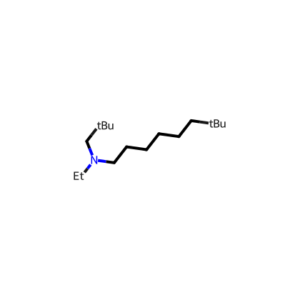 CCN(CCCCCCC(C)(C)C)CC(C)(C)C